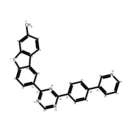 Cc1ccc2c(c1)sc1ccc(-c3ncnc(-c4ccc(-c5cccnc5)cc4)n3)cc12